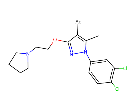 CC(=O)c1c(OCCN2CCCC2)nn(-c2ccc(Cl)c(Cl)c2)c1C